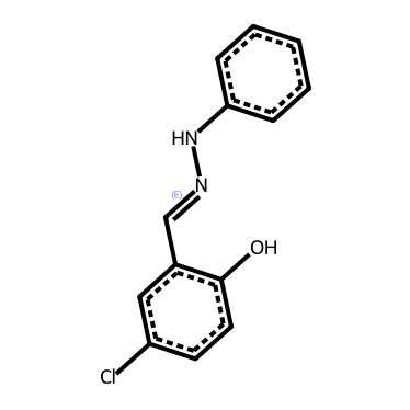 Oc1ccc(Cl)cc1/C=N/Nc1ccccc1